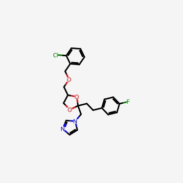 Fc1ccc(CCC2(Cn3ccnc3)OCC(COCc3ccccc3Cl)O2)cc1